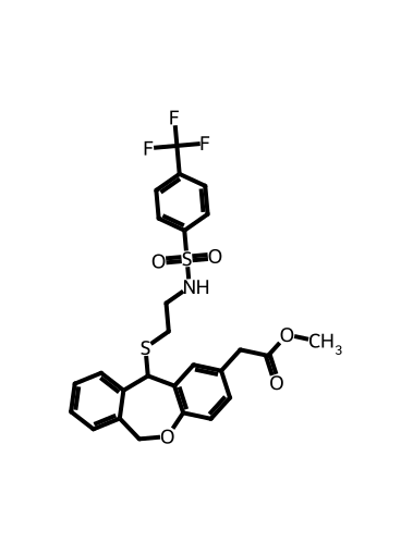 COC(=O)Cc1ccc2c(c1)C(SCCNS(=O)(=O)c1ccc(C(F)(F)F)cc1)c1ccccc1CO2